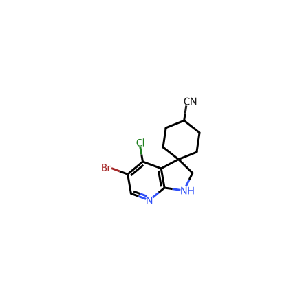 N#CC1CCC2(CC1)CNc1ncc(Br)c(Cl)c12